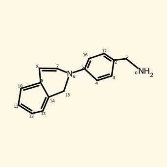 NCc1ccc(N2C=Cc3ccccc3C2)cc1